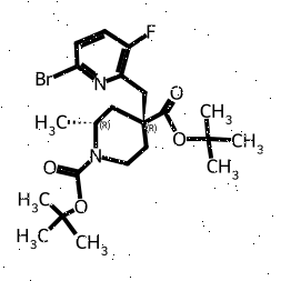 C[C@@H]1C[C@](Cc2nc(Br)ccc2F)(C(=O)OC(C)(C)C)CCN1C(=O)OC(C)(C)C